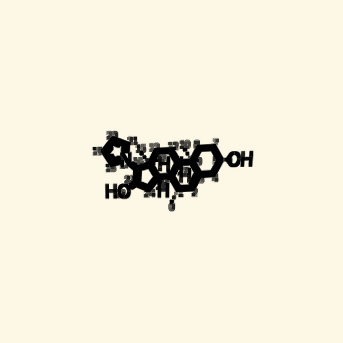 C[C@H]1C=C2C[C@@H](O)CC[C@]2(C)[C@H]2CC[C@]3(C)C(n4cccc4)=C(O)C[C@H]3[C@H]12